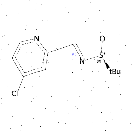 CC(C)(C)[S@+]([O-])/N=C/c1cc(Cl)ccn1